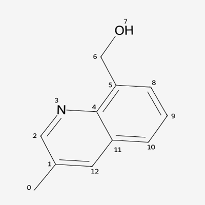 Cc1cnc2c(CO)cccc2c1